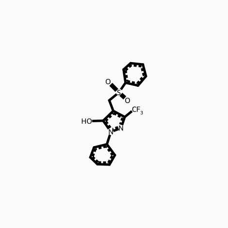 O=S(=O)(Cc1c(C(F)(F)F)nn(-c2ccccc2)c1O)c1ccccc1